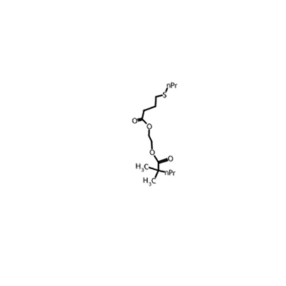 CCCSCCCC(=O)OCCOC(=O)C(C)(C)CCC